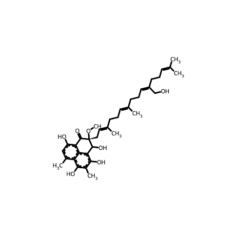 CO[C@@]1(C/C=C(\C)CC/C=C(\C)CC/C=C(\CO)CCC=C(C)C)C(=O)c2c(O)cc(C)c3c(O)c(C)c(O)c(c23)C1O